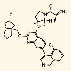 C=C(F)C(=O)N1CC[C@@H]2[C@H]1CN2c1nc(OCC23CCCN2C[C@H](F)C3)nc2cc(-c3cncc4cccc(Cl)c34)ccc12